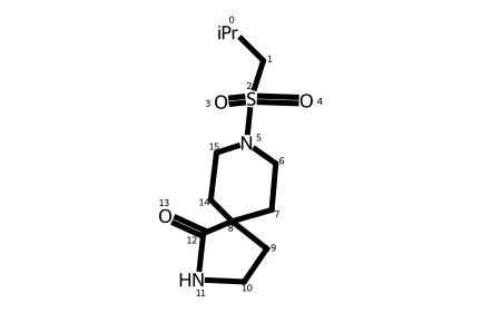 CC(C)CS(=O)(=O)N1CCC2(CCNC2=O)CC1